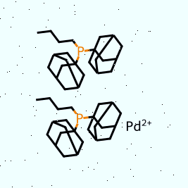 CCCCP(C12CC3CC(CC(C3)C1)C2)C12CC3CC(CC(C3)C1)C2.CCCCP(C12CC3CC(CC(C3)C1)C2)C12CC3CC(CC(C3)C1)C2.[Pd+2]